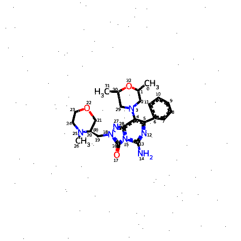 CC1CN(c2c(-c3ccccc3)nc(N)n3c(=O)n(C[C@@H]4COCCN4C)nc23)CC(C)O1